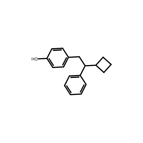 Oc1ccc(CC(c2ccccc2)C2CCC2)cc1